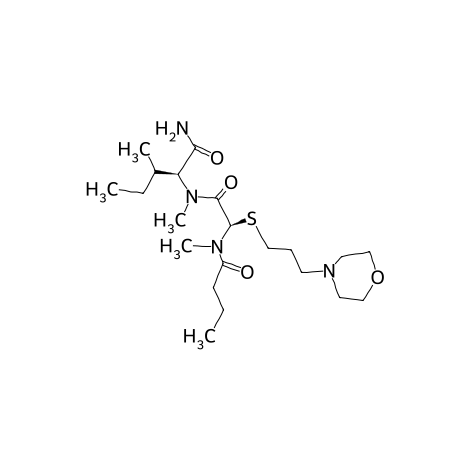 CCCC(=O)N(C)[C@H](SCCCN1CCOCC1)C(=O)N(C)[C@H](C(N)=O)C(C)CC